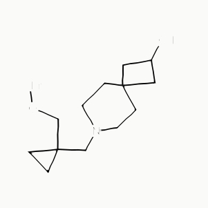 CC1CC2(CCN(CC3(COC(C)C)CC3)CC2)C1